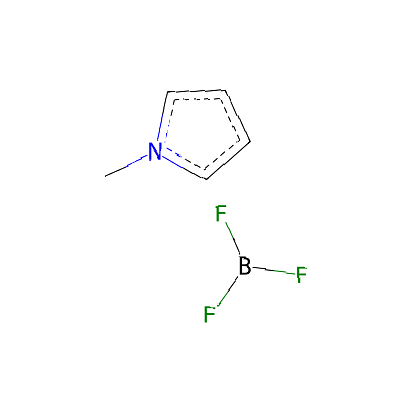 Cn1cccc1.FB(F)F